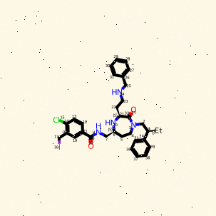 CC[C@H](CN1CC[C@@H](CNC(=O)c2ccc(Cl)c(CI)c2)N[C@@H](CCNCc2ccccc2)C1=O)c1ccccc1